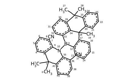 CC1(C)c2cccc(C#N)c2N(B2c3ccccc3C3(C)c4ccccc4C(C)(C)c4cccc2c43)c2c(C#N)cccc21